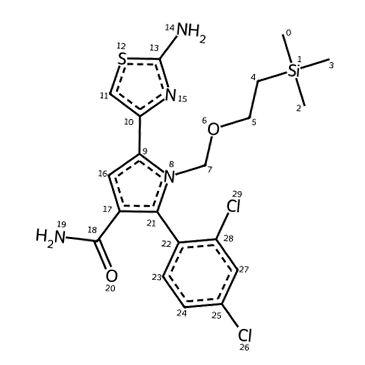 C[Si](C)(C)CCOCn1c(-c2csc(N)n2)cc(C(N)=O)c1-c1ccc(Cl)cc1Cl